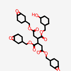 O=C(CC(C(=O)OCC1CCCC(O)C1)C(CC(=O)OCC1CCC2OC2C1)C(=O)OCC1CCC2OC2C1)OCC1CCC2OC2C1